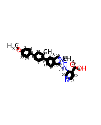 COc1ccc(-c2ccc(-c3ccc4c(c3)CN(C)[C@@H]4CNc3cnccc3C(=O)O)c(C)c2)cc1